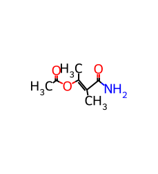 CC(=O)O/C(C)=C(\C)C(N)=O